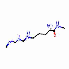 C=NCNCNCCC[C@H](N)C(=O)NC